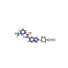 O=C[C@H]1CC[C@H](n2cc3cc(NC(=O)c4cccc(C(F)F)n4)ccc3n2)CC1